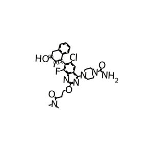 C[C@@H]1[C@H](c2c(Cl)cc3c(N4CCN(C(N)=O)CC4)nc(OCCC(=O)N(C)C)nc3c2F)c2ccccc2C[C@@H]1O